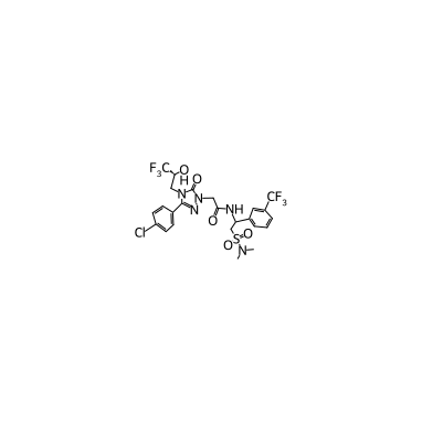 CN(C)S(=O)(=O)CC(NC(=O)Cn1nc(-c2ccc(Cl)cc2)n(C[C@H](O)C(F)(F)F)c1=O)c1cccc(C(F)(F)F)c1